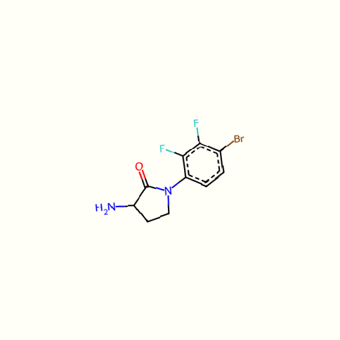 NC1CCN(c2ccc(Br)c(F)c2F)C1=O